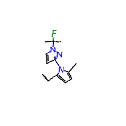 CCc1ccc(C)n1-c1ccn(C(C)(C)F)n1